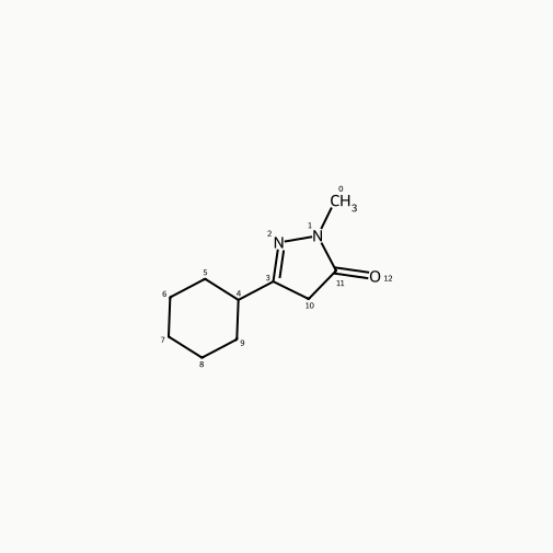 CN1N=C(C2CCCCC2)CC1=O